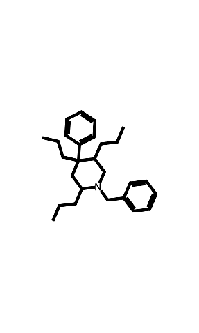 CCCC1CC(CCC)(c2ccccc2)C(CCC)CN1Cc1ccccc1